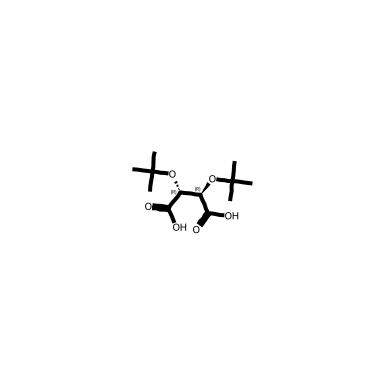 CC(C)(C)O[C@@H](C(=O)O)[C@@H](OC(C)(C)C)C(=O)O